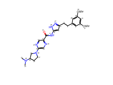 COc1cc(CCc2cc(NC(=O)c3cnc(N4CCC(N(C)C)C4)cn3)[nH]n2)cc(OC)c1